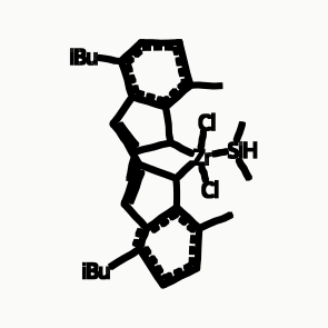 CCC(C)c1ccc(C)c2c1C=C(C)[CH]2[Zr]([Cl])([Cl])([CH]1C(C)=Cc2c(C(C)CC)ccc(C)c21)[SiH](C)C